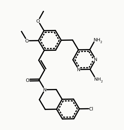 COc1cc(Cc2cnc(N)nc2N)cc(C=CC(=O)N2CCc3ccc(Cl)cc3C2)c1OC